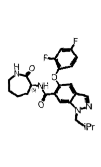 CC(C)Cn1ncc2cc(Oc3ccc(F)cc3F)c(C(=O)N[C@H]3CCCCNC3=O)cc21